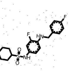 O=S(=O)(Nc1ccc(NCc2ccc(F)cc2)c(F)c1)C1CCCCC1